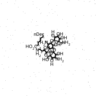 CCCCCCCCCCCCCCCC(=O)O.NCC[C@H](O)C(=O)N[C@@H]1C[C@H](N)[C@@H](O[C@H]2O[C@H](CN)[C@@H](O)[C@H](O)[C@H]2O)[C@H](O)[C@H]1O[C@H]1O[C@H](CO)[C@@H](O)[C@H](N)[C@H]1O